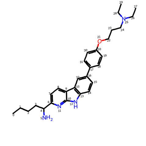 CCCCC(N)c1ccc2c(n1)[nH]c1ccc(-c3ccc(OCCCN(CC)CC)cc3)cc12